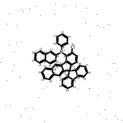 Clc1ccc2c(c1N(c1ccccc1)c1ccc3ccccc3c1)-c1cc3ccccc3cc1C21c2ccccc2-c2ccccc21